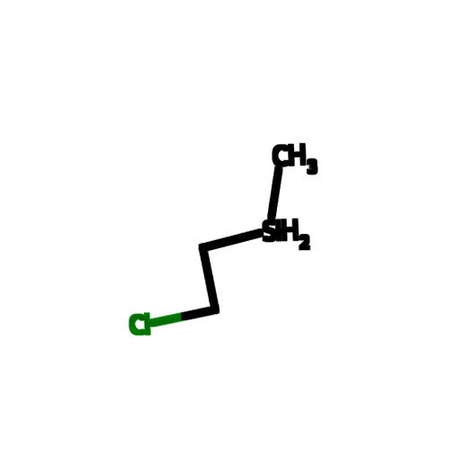 C[SiH2]CCCl